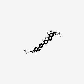 C=CCOc1ccc(-c2ccc(-c3ccc(-c4ccc5cc(C=C)c(F)c(F)c5c4F)c(F)c3F)cc2)c(F)c1F